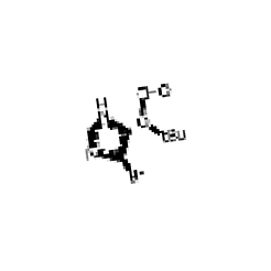 Brc1c[nH]cn1.CC(C)(C)OC=O